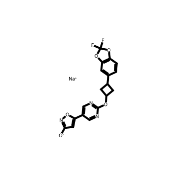 [Na+].[O-]c1cc(-c2cnc(OC3CC(c4ccc5c(c4)OC(F)(F)O5)C3)nc2)on1